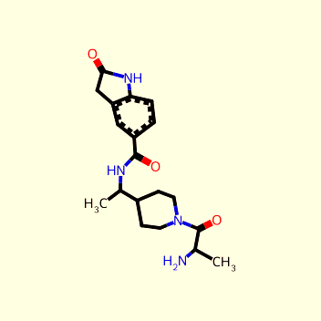 CC(N)C(=O)N1CCC(C(C)NC(=O)c2ccc3c(c2)CC(=O)N3)CC1